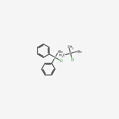 CC(C)(C)[Si](Cl)(c1ccccc1)c1ccccc1.CCCC[Si](C)(C)Cl